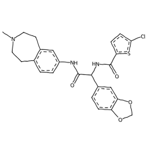 CN1CCc2ccc(NC(=O)C(NC(=O)c3ccc(Cl)s3)c3ccc4c(c3)OCO4)cc2CC1